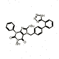 CCCCc1nc2c(c(=O)n(CCC)c(=O)n2-c2ccccc2)n1Cc1ccc(-c2ccccc2-c2nnn[nH]2)cc1